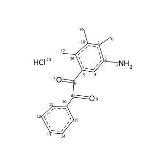 Cc1c(N)cc(C(=O)C(=O)c2ccccc2)c(C)c1C.Cl